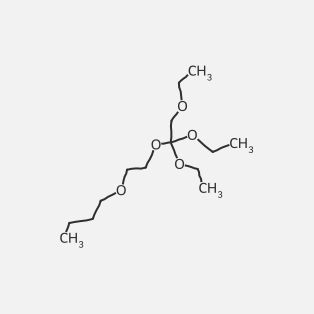 CCCCOCCOC(COCC)(OCC)OCC